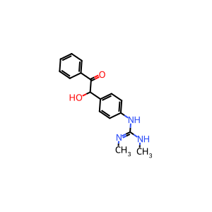 CN=C(NC)Nc1ccc(C(O)C(=O)c2ccccc2)cc1